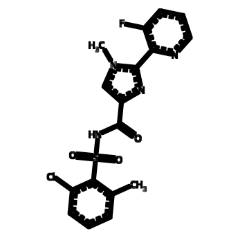 Cc1cccc(Cl)c1S(=O)(=O)NC(=O)c1cn(C)c(-c2ncccc2F)n1